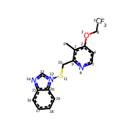 Cc1c(OCC(F)(F)F)ccnc1CSn1cnc2ccccc21